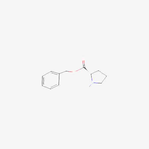 O=C(OCc1ccccc1)[C@H]1CCCN1C(F)(F)F